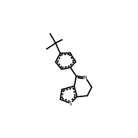 CC(C)(C)c1ccc(C2=NCCc3sccc32)cc1